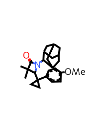 COc1ccc(C2(C3N(C4C5CC6CC(C5)CC4C6)C(=O)C3(C)C)CC2)cc1